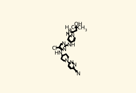 CC(C)(O)Cc1nnc2cc(Nc3ncc(Cl)c(NC4CCN(c5ccc(C#N)nn5)CC4)n3)ccn12